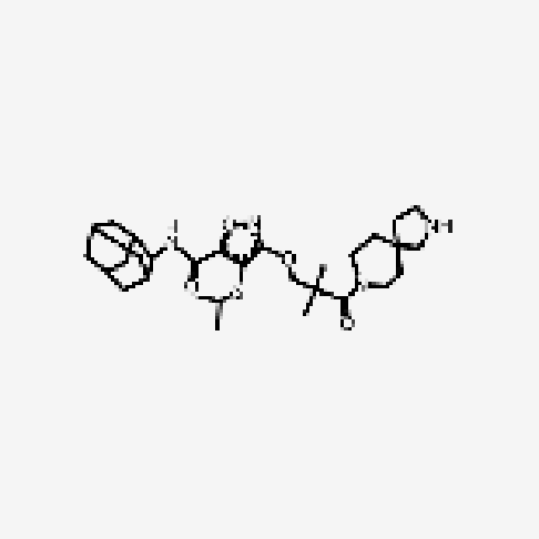 CC(C)Sc1c(OCC(C)(C)C(=O)N2CCC3(CCNC3)CC2)noc1C(=O)NC1C2CC3CC(C2)CC1C3